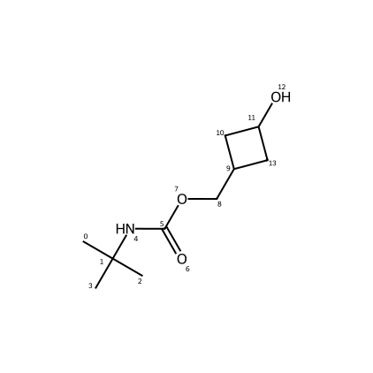 CC(C)(C)NC(=O)OCC1CC(O)C1